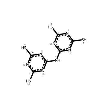 Sc1nc(S)nc(Nc2nc(S)nc(S)n2)n1